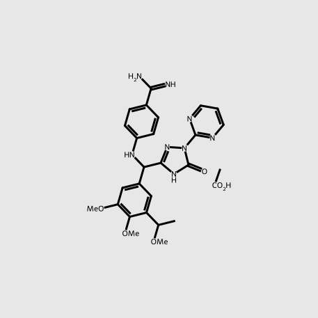 CC(=O)O.COc1cc(C(Nc2ccc(C(=N)N)cc2)c2nn(-c3ncccn3)c(=O)[nH]2)cc(C(C)OC)c1OC